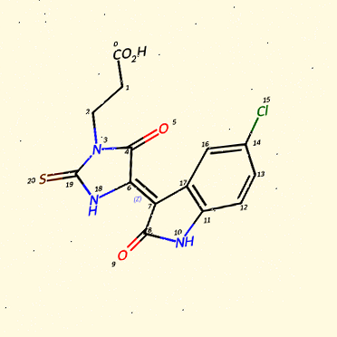 O=C(O)CCN1C(=O)/C(=C2/C(=O)Nc3ccc(Cl)cc32)NC1=S